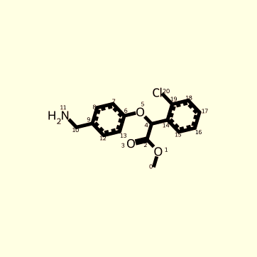 COC(=O)C(Oc1ccc(CN)cc1)c1ccccc1Cl